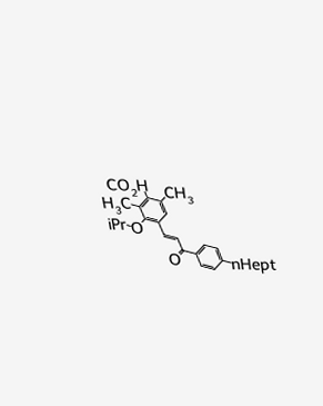 CCCCCCCc1ccc(C(=O)/C=C/c2cc(C)c(C(=O)O)c(C)c2OC(C)C)cc1